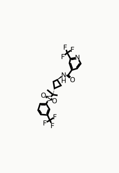 CC(C)([C@H]1C[C@H](NC(=O)c2ccnc(C(F)(F)F)c2)C1)S(=O)(=O)c1cccc(C(F)(F)F)c1